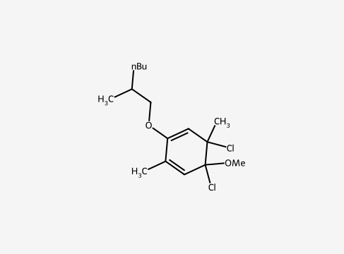 CCCCC(C)COC1=CC(C)(Cl)C(Cl)(OC)C=C1C